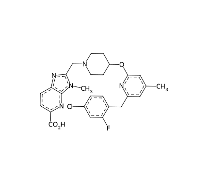 Cc1cc(Cc2ccc(Cl)cc2F)nc(OC2CCN(Cc3nc4ccc(C(=O)O)nc4n3C)CC2)c1